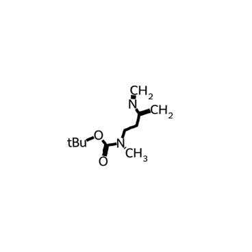 C=NC(=C)CCN(C)C(=O)OC(C)(C)C